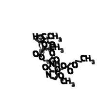 CCCOCC(=O)OCOc1c(OC)ccnc1C(=O)N[C@H]1COC(=O)[C@H](Cc2ccccc2)[C@@H](OC(=O)C(C)C)[C@H](C)OC1=O